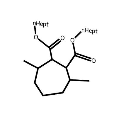 CCCCCCCOC(=O)C1C(C)CCCC(C)C1C(=O)OCCCCCCC